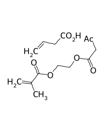 C=C(C)C(=O)OCCOC(=O)CC(C)=O.C=CCC(=O)O